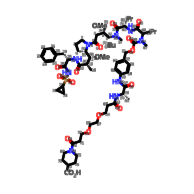 CC[C@H](C)[C@@H]([C@@H](CC(=O)N1CCC[C@H]1[C@H](OC)[C@@H](C)C(=O)N[C@@H](Cc1ccccc1)C(=O)NS(=O)(=O)C1CC1)OC)N(C)C(=O)[C@@H](NC(=O)C(C(C)C)N(C)C(=O)OCc1ccc(NC(=O)[C@H](C)NC(=O)CCOCCOCCC(=O)N2CCC(C(=O)O)CC2)cc1)C(C)C